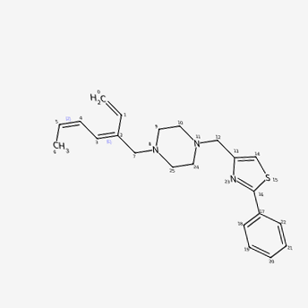 C=C/C(=C\C=C/C)CN1CCN(Cc2csc(-c3ccccc3)n2)CC1